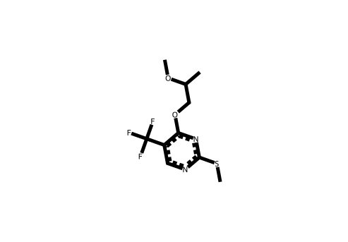 COC(C)COc1nc(SC)ncc1C(F)(F)F